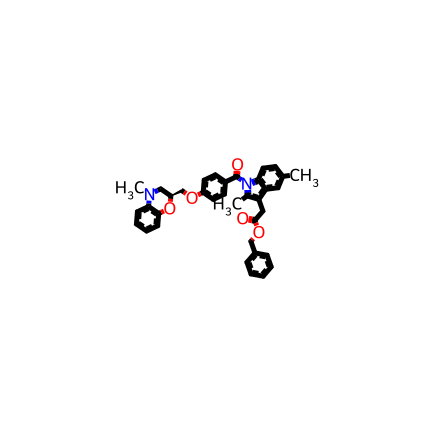 Cc1ccc2c(c1)c(CC(=O)OCc1ccccc1)c(C)n2C(=O)c1ccc(OC[C@@H]2CN(C)c3ccccc3O2)cc1